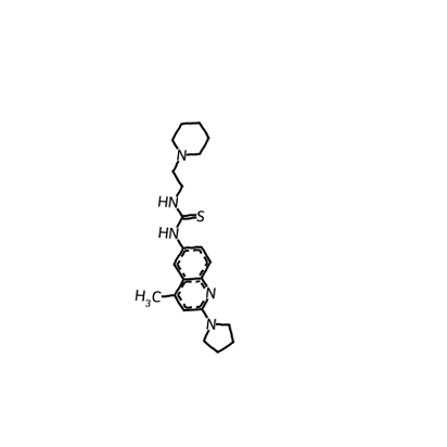 Cc1cc(N2CCCC2)nc2ccc(NC(=S)NCCN3CCCCC3)cc12